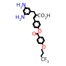 Nc1cc(N)cc(CC(=Cc2ccc(OC(=O)c3ccc(OCCCC(F)(F)F)cc3)cc2)C(=O)O)c1